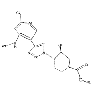 CC(C)Nc1cc(Cl)ncc1-c1cn([C@H]2CCN(C(=O)OC(C)(C)C)C[C@@H]2O)nn1